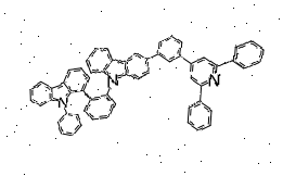 c1ccc(-c2cc(-c3cccc(-c4ccc5c(c4)c4ccccc4n5-c4ccccc4-c4cccc5c6ccccc6n(-c6ccccc6)c45)c3)cc(-c3ccccc3)n2)cc1